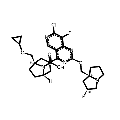 O=C(O)N1[C@H]2CC[C@]1(COC1CC1)CN(c1nc(OC[C@@]34CCCN3C[C@H](F)C4)nc3c(F)c(Cl)ncc13)C2